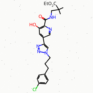 CCOC(=O)C(C)(C)CNC(=O)c1ncc(-c2cn(CCCc3ccc(Cl)cc3)nn2)cc1O